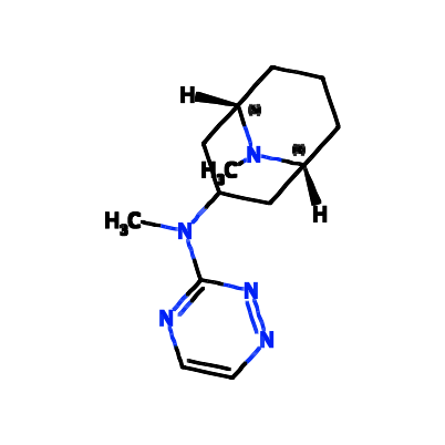 CN(c1nccnn1)C1C[C@H]2CCC[C@@H](C1)N2C